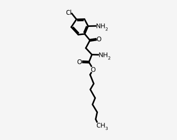 CCCCCCCCOC(=O)C(N)CC(=O)c1ccc(Cl)cc1N